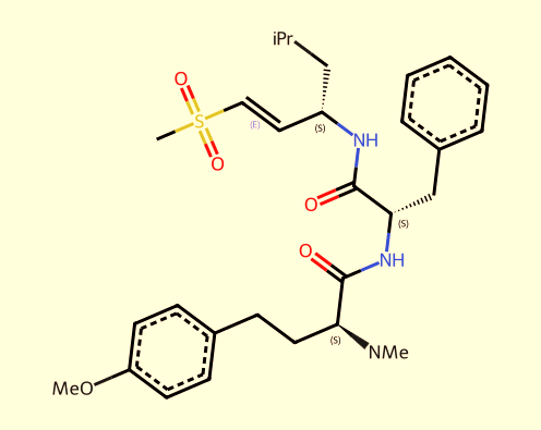 CN[C@@H](CCc1ccc(OC)cc1)C(=O)N[C@@H](Cc1ccccc1)C(=O)N[C@H](/C=C/S(C)(=O)=O)CC(C)C